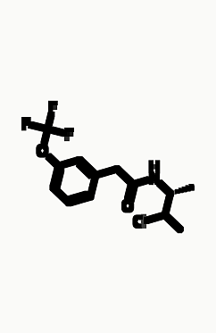 CC(Cl)[C@@H](C)NC(=O)Cc1cccc(OC(F)(F)F)c1